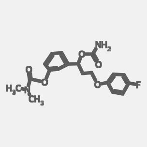 CN(C)C(=O)Oc1cccc(C(CCOc2ccc(F)cc2)OC(N)=O)c1